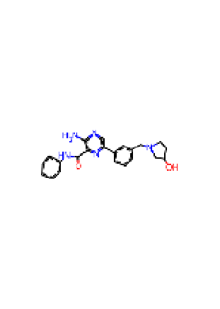 Nc1ncc(-c2cccc(CN3CCC(O)C3)c2)nc1C(=O)Nc1ccccc1